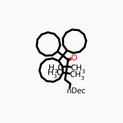 CCCCCCCCCCCCC(C)(C)C(C)(C)C(=O)C(C1CCCCCCCCCC1)(C1CCCCCCCCCC1)C1CCCCCCCCCC1